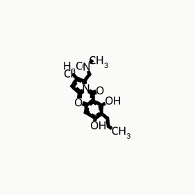 CCCc1c(O)cc2oc3cc(Cl)c(CN(C)C)n3c(=O)c2c1O